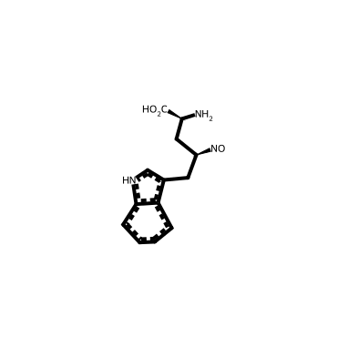 N[C@@H](C[C@H](Cc1c[nH]c2ccccc12)N=O)C(=O)O